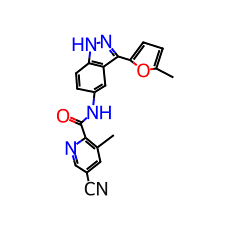 Cc1ccc(-c2n[nH]c3ccc(NC(=O)c4ncc(C#N)cc4C)cc23)o1